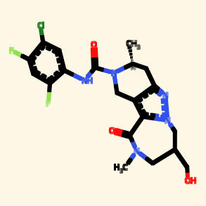 C[C@@H]1Cc2nn3c(c2CN1C(=O)Nc1cc(Cl)c(F)cc1F)C(=O)N(C)CC(CO)C3